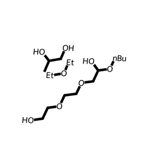 CC(O)CO.CCCCOC(O)COCCOCCO.CCOCC